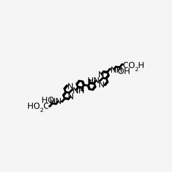 Cc1c(Nc2nccc3cc(CNC[C@@H](O)CC(=O)O)cnc23)cccc1-c1cccc(Nc2nccc3cc(CNC[C@@H](O)CC(=O)O)cnc23)c1C